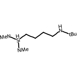 CN[SiH](CCCCNC(C)(C)C)NC